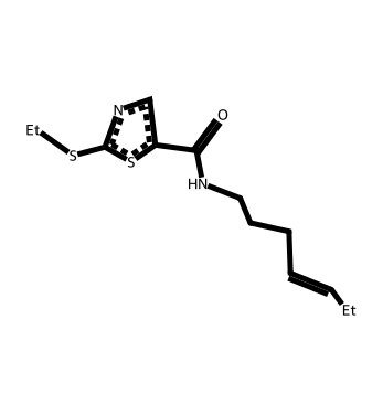 CC/C=C/CCCNC(=O)c1cnc(SCC)s1